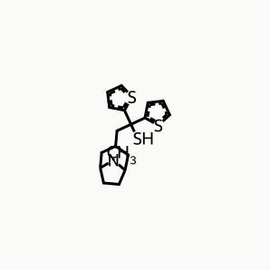 CN1C2CCC1CC(CC(S)(c1cccs1)c1cccs1)C2